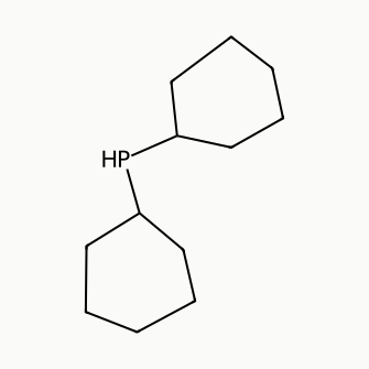 C1CCC(PC2CCCCC2)CC1